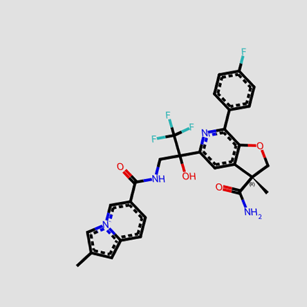 Cc1cc2ccc(C(=O)NCC(O)(c3cc4c(c(-c5ccc(F)cc5)n3)OC[C@]4(C)C(N)=O)C(F)(F)F)cn2c1